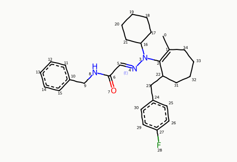 CC1=C(N(/N=C/C(=O)NCc2ccccc2)C2CCCCC2)C(Cc2ccc(F)cc2)CCCC1